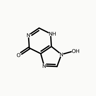 O=c1nc[nH]c2c1ncn2O